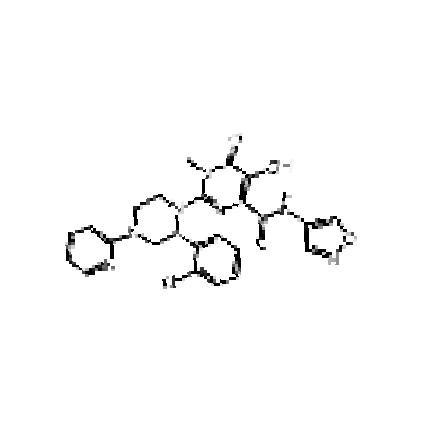 Cn1c(N2CCN(c3ccccn3)C[C@@H]2c2ccccc2Cl)nc(C(=O)Nc2cnoc2)c(O)c1=O